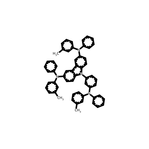 Cc1cccc(N(c2ccccc2)c2cccc(-n3c4ccc(N(c5ccccc5)c5cccc(C)c5)cc4c4cc(N(c5ccccc5)c5cccc(C)c5)ccc43)c2)c1